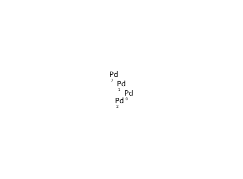 [Pd].[Pd].[Pd].[Pd]